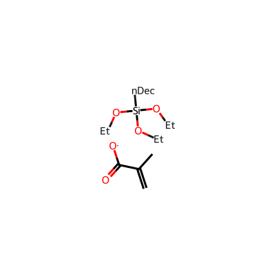 C=C(C)C([O])=O.CCCCCCCCCC[Si](OCC)(OCC)OCC